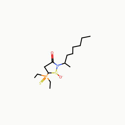 CCCCCCC(C)N1C(=O)CC(P(=S)(CC)CC)[S+]1[O-]